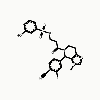 Cn1cnc2c1C(c1ccc(C#N)c(F)c1)N(C(=O)CCNS(=O)(=O)c1cccc(O)c1)CC2